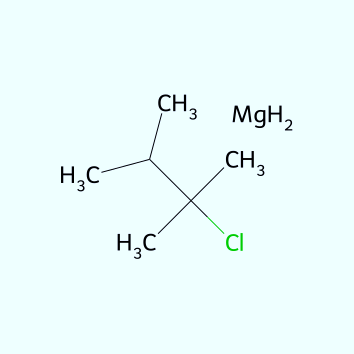 CC(C)C(C)(C)Cl.[MgH2]